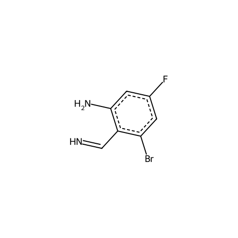 N=Cc1c(N)cc(F)cc1Br